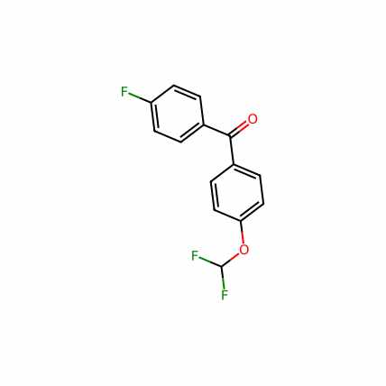 O=C(c1ccc(F)cc1)c1ccc(OC(F)F)cc1